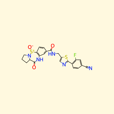 N#Cc1ccc(-c2ncc(CNC(=O)c3ccc4c(c3)NC(=O)C3CCCN3[S+]4[O-])s2)c(F)c1